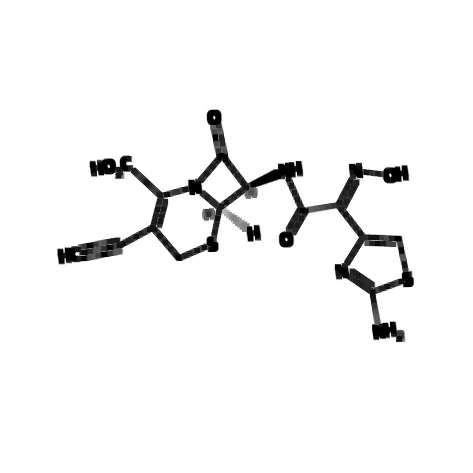 C#CC1=C(C(=O)O)N2C(=O)[C@@H](NC(=O)C(=NO)c3csc(N)n3)[C@H]2SC1